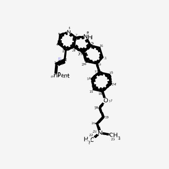 CCCCC/C=C/c1ccnc2[nH]c3ccc(-c4ccc(OCCCN(C)C)cc4)cc3c12